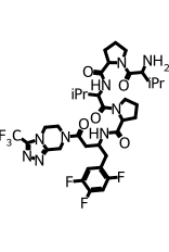 CC(C)C(N)C(=O)N1CCCC1C(=O)NC(C(=O)N1CCCC1C(=O)NC(CC(=O)N1CCn2c(nnc2C(F)(F)F)C1)Cc1cc(F)c(F)cc1F)C(C)C